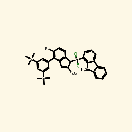 CCCCC1=Cc2c(ccc(CC)c2-c2cc([Si](C)(C)C)cc([Si](C)(C)C)c2)[CH]1[Zr]([Cl])([Cl])[c]1cccc2c1[SiH2]c1ccccc1-2